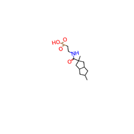 CC1CC2CC(C)(C(=O)NCCS(=O)(=O)O)CC2C1